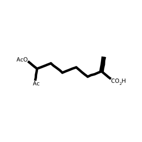 C=C(CCCCC(OC(C)=O)C(C)=O)C(=O)O